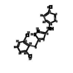 Clc1ccc(Nc2cc(Cc3c(Cl)cccc3Cl)sn2)cc1